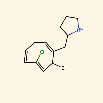 CCC1/C=C(\Cl)C=CC/C=C\1CC1CCCN1